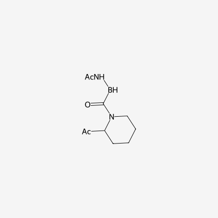 CC(=O)NBC(=O)N1CCCCC1C(C)=O